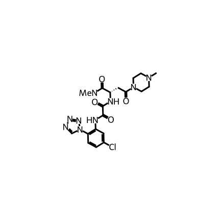 CNC(=O)[C@H](CC(=O)N1CCN(C)CC1)NC(=O)C(=O)Nc1cc(Cl)ccc1-n1cnnn1